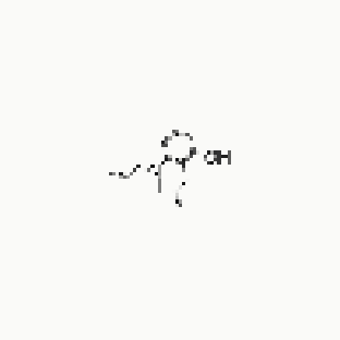 C=CCNc1cccc(O)c1CC=C